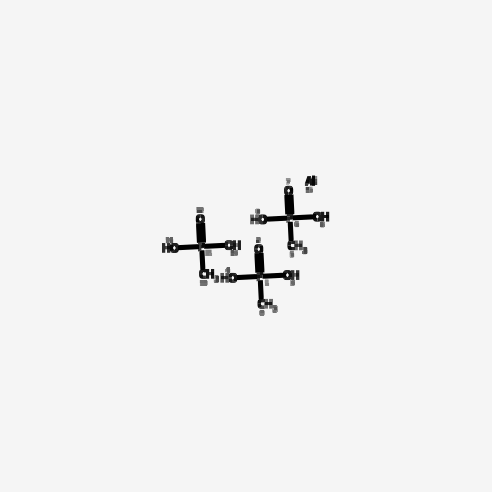 CP(=O)(O)O.CP(=O)(O)O.CP(=O)(O)O.[Al]